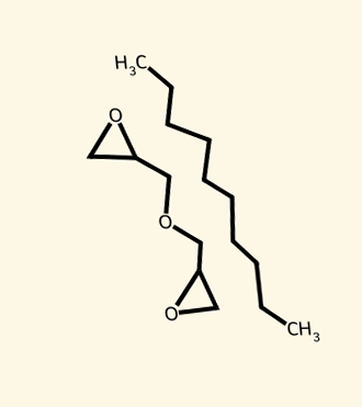 C(OCC1CO1)C1CO1.CCCCCCCCCC